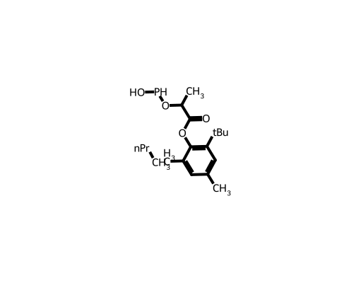 CCCC.Cc1cc(C)c(OC(=O)C(C)OPO)c(C(C)(C)C)c1